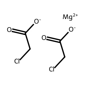 O=C([O-])CCl.O=C([O-])CCl.[Mg+2]